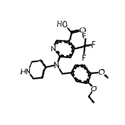 CCOc1cc(CN(c2cc(C(F)(F)F)c(C(=O)O)cn2)C2CCNCC2)ccc1OC